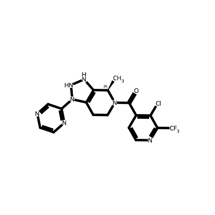 C[C@@H]1C2=C(CCN1C(=O)c1ccnc(C(F)(F)F)c1Cl)N(c1cnccn1)NN2